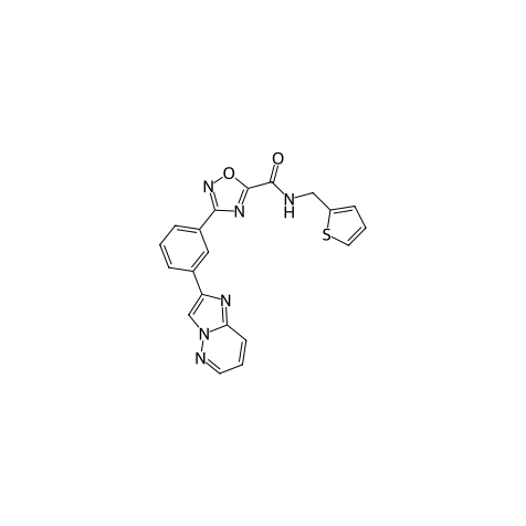 O=C(NCc1cccs1)c1nc(-c2cccc(-c3cn4ncccc4n3)c2)no1